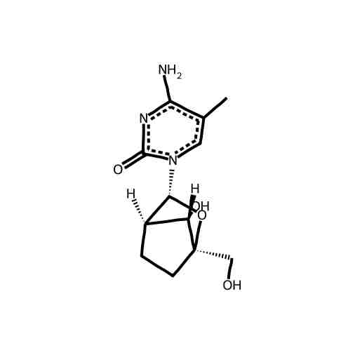 Cc1cn([C@@H]2O[C@@]3(CO)CC[C@@H]2[C@@H]3O)c(=O)nc1N